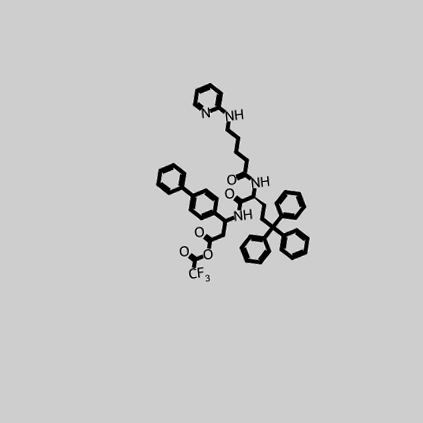 O=C(CCCCNc1ccccn1)N[C@@H](CCC(c1ccccc1)(c1ccccc1)c1ccccc1)C(=O)NC(CC(=O)OC(=O)C(F)(F)F)c1ccc(-c2ccccc2)cc1